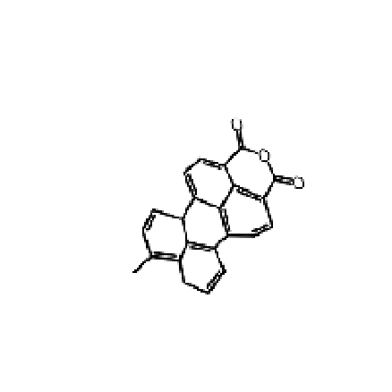 CC1=C2CC=CC3=C2C(C=C1)c1ccc2c4c(ccc3c14)C(=O)OC2=O